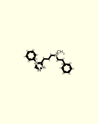 CN(CCCc1nncn1-c1ccccc1)CCc1ccccc1